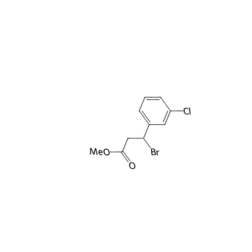 COC(=O)CC(Br)c1cccc(Cl)c1